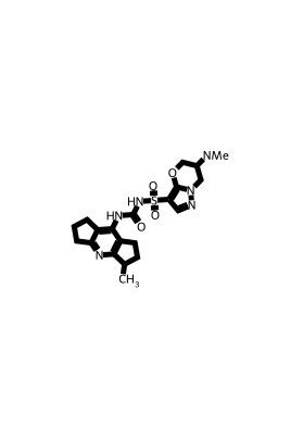 CNC1COc2c(S(=O)(=O)NC(=O)Nc3c4c(nc5c3CCC5C)CCC4)cnn2C1